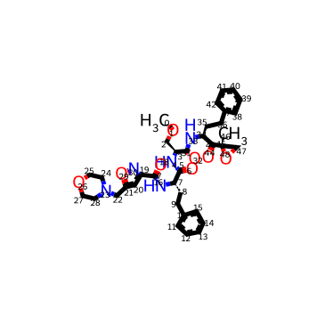 COC[C@H](NC(=O)[C@H](CCc1ccccc1)NC(=O)c1cc(CN2CCOCC2)on1)C(=O)N[C@@H](CCc1ccccc1)C(=O)[C@@]1(C)CO1